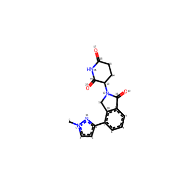 Cn1ccc(-c2cccc3c2CN(C2CCC(=O)NC2=O)C3=O)n1